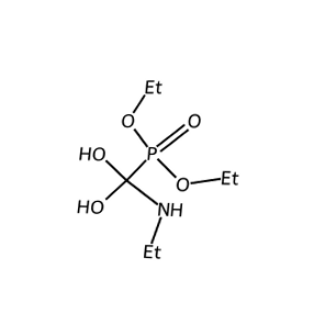 CCNC(O)(O)P(=O)(OCC)OCC